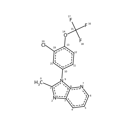 Cc1nc2cccnc2n1-c1ccc(OC(F)(F)F)c(Cl)c1